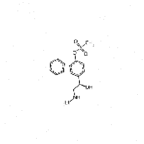 CCNC[C@H](O)c1ccc(OS(C)(=O)=O)cc1.c1ccccc1